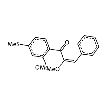 COC(=Cc1ccccc1)C(=O)c1ccc(SC)cc1OC